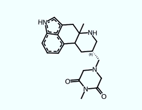 CN1C(=O)CN(C[C@H]2CNC3(C)Cc4c[nH]c5cccc(c45)C3C2)CC1=O